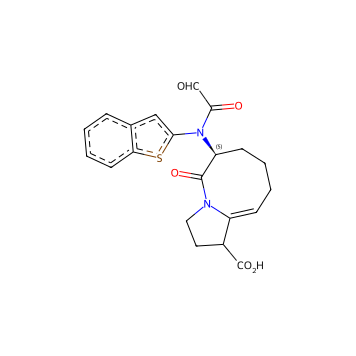 O=CC(=O)N(c1cc2ccccc2s1)[C@H]1CCCC=C2C(C(=O)O)CCN2C1=O